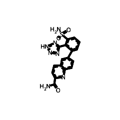 NC(=O)c1ccc2cc(-c3cccc(S(N)(=O)=O)c3-c3nn[nH]n3)ccc2n1